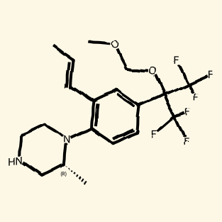 CC=Cc1cc(C(OCOC)(C(F)(F)F)C(F)(F)F)ccc1N1CCNC[C@H]1C